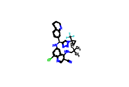 CC(C)(C)CNc1c(C#N)cnc2c(Cl)cc(NC(c3ccc4cccnc4c3)c3cn(C4(C(F)(F)F)CC4)nn3)cc12